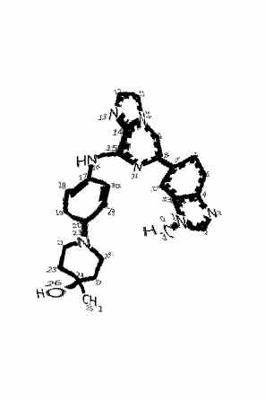 Cn1cnc2ccc(-c3cn4ccnc4c(NC4=CCC(N5CCC(C)(O)CC5)C=C4)n3)cc21